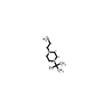 CCC(C)(C)N1CCN(CCN)CC1